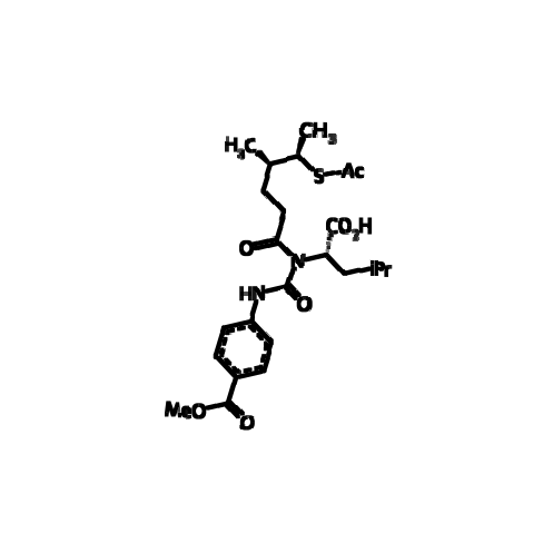 COC(=O)c1ccc(NC(=O)N(C(=O)CC[C@@H](C)[C@@H](C)SC(C)=O)[C@@H](CC(C)C)C(=O)O)cc1